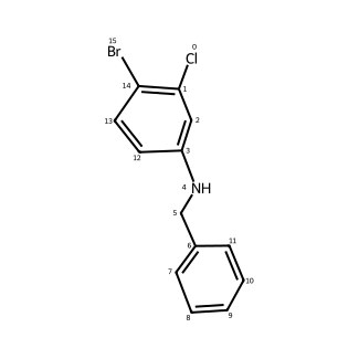 Clc1cc(NCc2ccccc2)ccc1Br